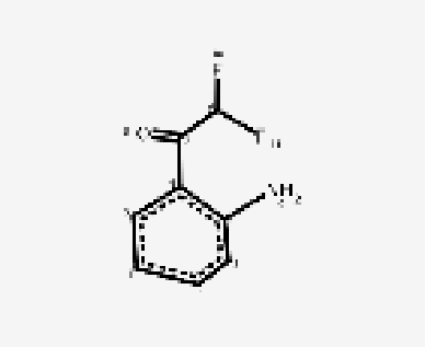 Nc1ccccc1C(=O)C(F)F